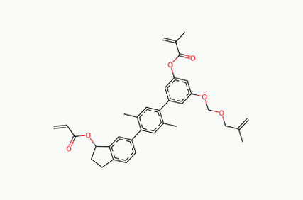 C=CC(=O)OC1CCc2ccc(-c3cc(C)c(-c4cc(OCOCC(=C)C)cc(OC(=O)C(=C)C)c4)cc3C)cc21